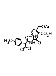 CC(=O)OCC1=C(C(=O)O)N2C(=O)C(NC(=O)C(=C(Cl)Cl)c3ccc(C)cc3)[C@@H]2SC1